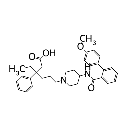 CCC(CCCN1CCC(NC(=O)c2ccccc2-c2ccc(OC)cc2)CC1)(CC(=O)O)c1ccccc1